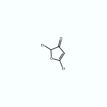 CCC1=[C]C(=O)C(CC)O1